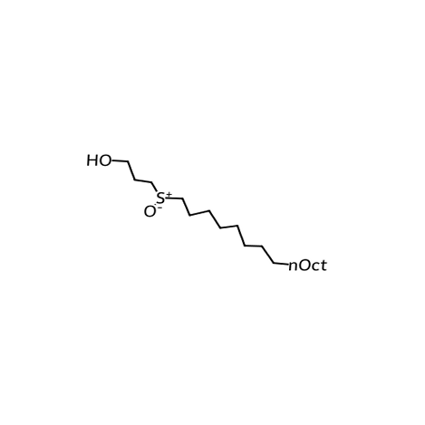 CCCCCCCCCCCCCCCC[S+]([O-])CCCO